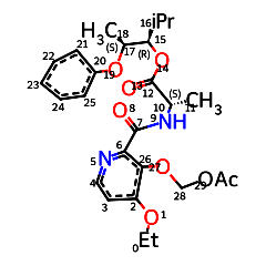 CCOc1ccnc(C(=O)N[C@@H](C)C(=O)O[C@H](C(C)C)[C@H](C)Oc2ccccc2)c1OCOC(C)=O